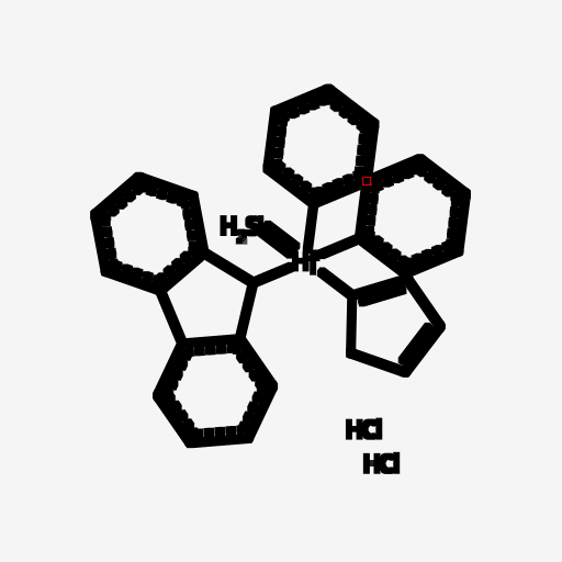 Cl.Cl.[SiH2]=[Hf]([C]1=CC=CC1)([c]1ccccc1)([c]1ccccc1)[CH]1c2ccccc2-c2ccccc21